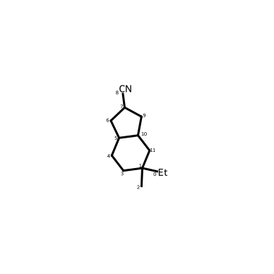 CCC1(C)CCC2CC(C#N)CC2C1